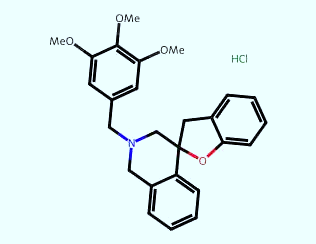 COc1cc(CN2Cc3ccccc3C3(Cc4ccccc4O3)C2)cc(OC)c1OC.Cl